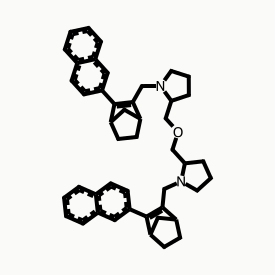 c1ccc2cc(C3=C(CN4CCCC4COCC4CCCN4CC4=C(c5ccc6ccccc6c5)C5CCC4C5)C4CCC3C4)ccc2c1